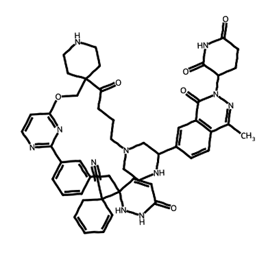 Cc1nn(C2CCC(=O)NC2=O)c(=O)c2cc(C3CN(CCCC(=O)C4(COc5ccnc(-c6cccc(CC7(C8(C#N)C=CC=CC8)C=CC(=O)NN7)c6)n5)CCNCC4)CCN3)ccc12